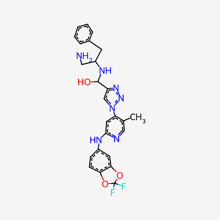 Cc1cnc(Nc2ccc3c(c2)OC(F)(F)O3)cc1-n1cc(C(O)NC(CN)Cc2ccccc2)nn1